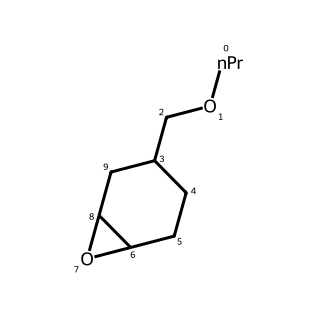 [CH2]CCOCC1CCC2OC2C1